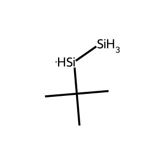 CC(C)(C)[SiH][SiH3]